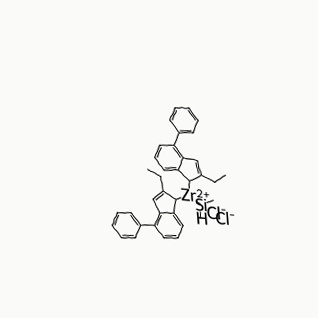 CCC1=Cc2c(-c3ccccc3)cccc2[CH]1[Zr+2]([CH]1C(CC)=Cc2c(-c3ccccc3)cccc21)[SiH](C)C.[Cl-].[Cl-]